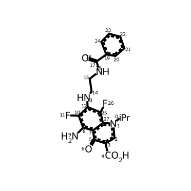 CC(C)n1cc(C(=O)O)c(=O)c2c(N)c(F)c(NCCNC(=O)c3ccccc3)c(F)c21